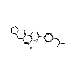 CC(C)Oc1ccc(C2=CCC3=C(N=CC(CN4CCCC4)C3=O)O2)cc1.Cl